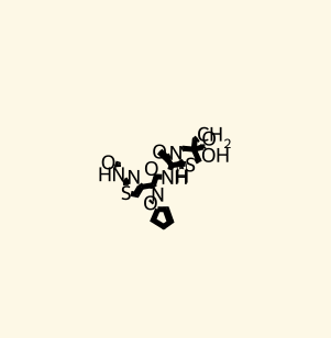 C=CC1(C(=O)O)CS[C@@H]2C(NC(=O)C(=NOC3C=CCC3)c3csc(NC=O)n3)C(=O)N2C1